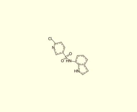 O=S(=O)(Nc1cccc2cc[nH]c12)c1ccc(Cl)nc1